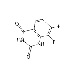 O=c1[nH]c(=O)c2ccc(F)c(F)c2[nH]1